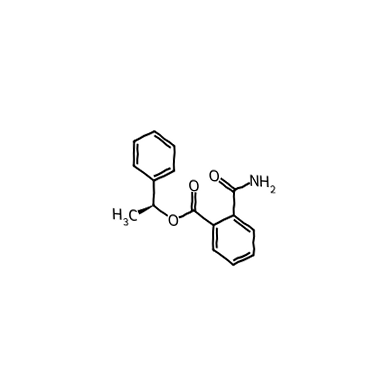 C[C@H](OC(=O)c1ccccc1C(N)=O)c1ccccc1